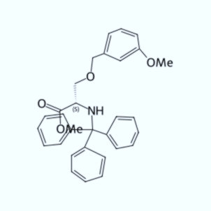 COC(=O)[C@H](COCc1cccc(OC)c1)NC(c1ccccc1)(c1ccccc1)c1ccccc1